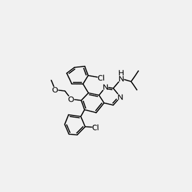 COCOc1c(-c2ccccc2Cl)cc2cnc(NC(C)C)nc2c1-c1ccccc1Cl